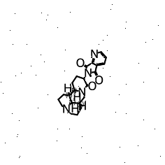 O=C1c2cccnc2C(=O)N1C1CC[C@@H]2[C@H]3CCCN4CCC[C@@H](CN2C1=O)[C@@H]34